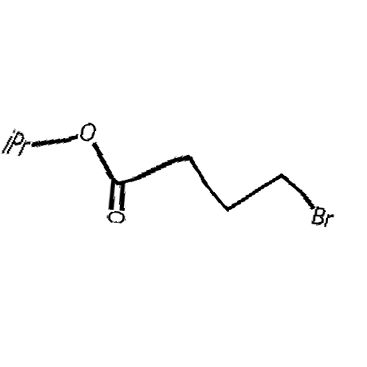 CC(C)OC(=O)CCCBr